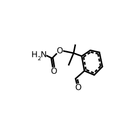 CC(C)(OC(N)=O)c1ccccc1C=O